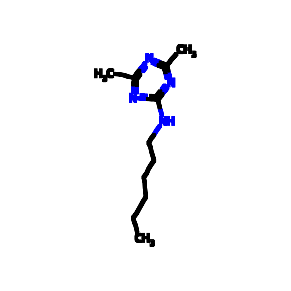 CCCCCCNc1nc(C)nc(C)n1